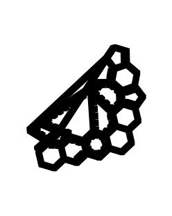 C1=C2CC3=c4c5c6c7c8c(cc9c%10c%11c%12c%13c%14c%11c(c4=C2C%14C1C=C%13CCC%12C=9)c6c8%10)CCC7CC=5C3